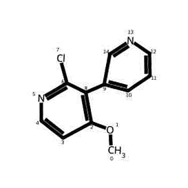 COc1ccnc(Cl)c1-c1cccnc1